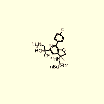 CCCC[S+]([O-])N[C@]1(C)COc2c1cc([C@](O)(CN)C(F)(F)F)nc2-c1ccc(F)cc1